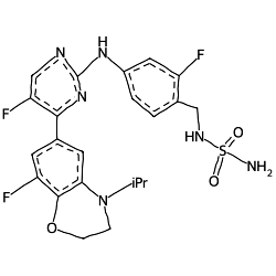 CC(C)N1CCOc2c(F)cc(-c3nc(Nc4ccc(CNS(N)(=O)=O)c(F)c4)ncc3F)cc21